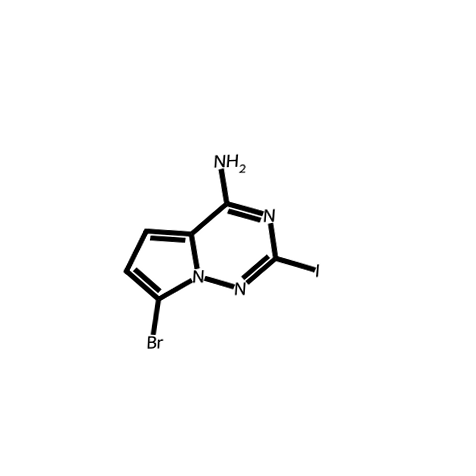 Nc1nc(I)nn2c(Br)ccc12